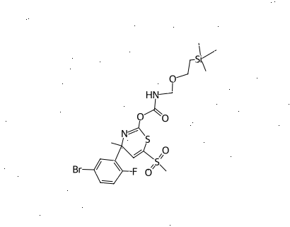 CC1(c2cc(Br)ccc2F)C=C(S(C)(=O)=O)SC(OC(=O)NCOCC[Si](C)(C)C)=N1